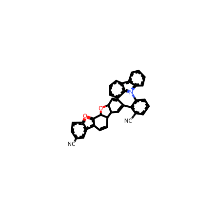 N#Cc1ccc2oc3c(c2c1)C=CC1C3OC2C=CC(c3c(C#N)cccc3-n3c4ccccc4c4ccccc43)=CC21